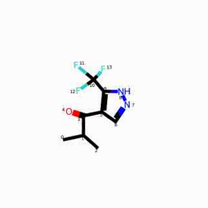 CC(C)C(=O)c1cn[nH]c1C(F)(F)F